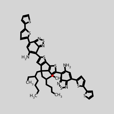 CCCCC(CC)CC1(CC(CC)CCCC)c2cc(-c3c(N)cc(-c4ccc(-c5cccs5)s4)c4nsnc34)sc2-c2sc(-c3c(N)cc(-c4ccc(-c5cccs5)s4)c4nsnc34)cc21